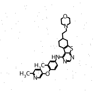 Cc1ccc(Oc2ccc(Nc3ncnc4sc5c(c34)CCC(CCN3CCOCC3)C5)cc2C)cn1